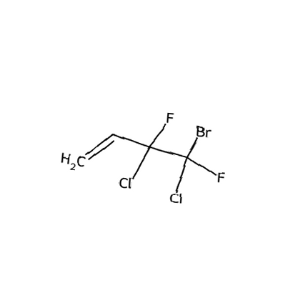 C=CC(F)(Cl)C(F)(Cl)Br